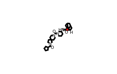 O=C(C1CCCC1)N1CCC2(CCN(C(=O)N3CCC[C@H](NC(=O)[C@]45CC6CC(C4)C(O)[C@H](C6)C5)C3)CC2)C1